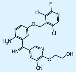 N#Cc1cc(C(=N)c2cc(OCc3c(Cl)cnc(F)c3Cl)ccc2N)cnc1OCCO